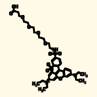 CCN(CC)c1ccc2c(-c3ccc(S(=O)(=O)NCCOCCOCCOCCOCCC(=O)O)cc3S(=O)(=O)[O-])c3ccc(=[N+](CC)CC)cc-3oc2c1